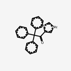 O=C(c1c[nH]cn1)C(c1ccccc1)(c1ccccc1)c1ccccc1